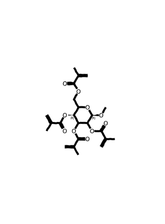 C=C(C)C(=O)OCC1O[C@@H](OC)C(OC(=O)C(=C)C)C(OC(=O)C(=C)C)[C@@H]1OC(=O)C(=C)C